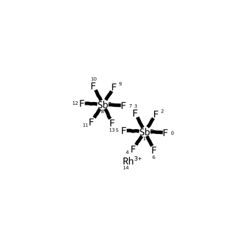 [F][Sb-]([F])([F])([F])([F])[F].[F][Sb-]([F])([F])([F])([F])[F].[Rh+3]